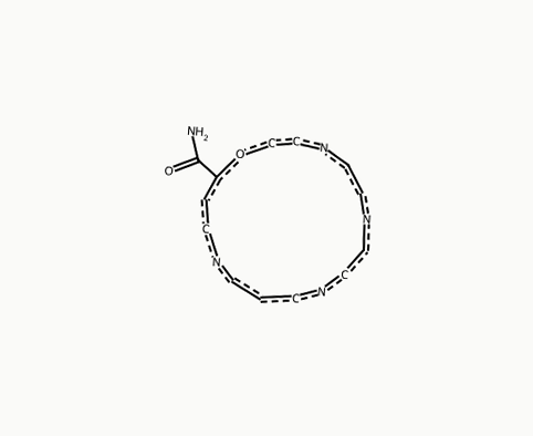 NC(=O)c1ccncccnccnccncco1